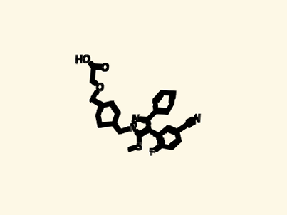 CSc1c(-c2cc(C#N)ccc2F)c(-c2ccccc2)nn1CC1CCC(COCC(=O)O)CC1